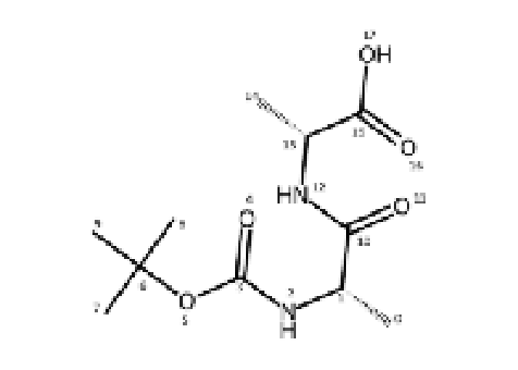 C[C@H](NC(=O)OC(C)(C)C)C(=O)N[C@H](C)C(=O)O